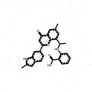 Cc1cc(C(C)Nc2ccccc2C(=O)O)c2oc(-c3ccc4cc(C)[nH]c4c3)cc(=O)c2c1